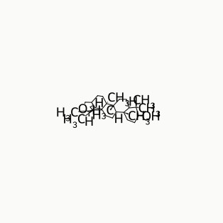 CC1(C)CC[C@]23CC[C@]4(C)[C@H](CC[C@@H]5[C@@]6(C)CC[C@H](O)C(C)(C)[C@@H]6CC[C@]54C)[C@H]2[C@H]1OC3